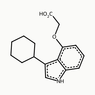 O=C(O)COc1cccc2[nH]cc(C3CCCCC3)c12